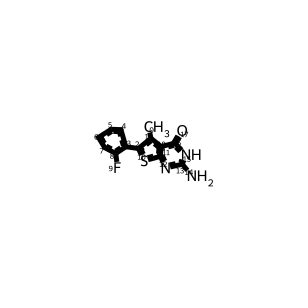 Cc1c(-c2ccccc2F)sc2nc(N)[nH]c(=O)c12